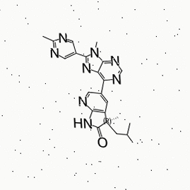 Cc1ncc(-c2nc3c(-c4cnc5c(c4)[C@@](C)(CC(C)C)C(=O)N5)ncnc3n2C)cn1